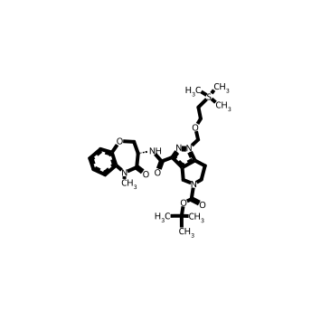 CN1C(=O)[C@@H](NC(=O)c2nn(COCCS(C)(C)C)c3c2CN(C(=O)OC(C)(C)C)CC3)COc2ccccc21